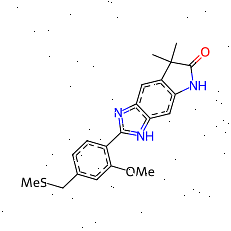 COc1cc(CSC)ccc1-c1nc2cc3c(cc2[nH]1)NC(=O)C3(C)C